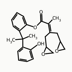 CC(C(=O)Oc1ccccc1C(C)(C)c1ccccc1O)=C(CC1CO1)CC1CO1